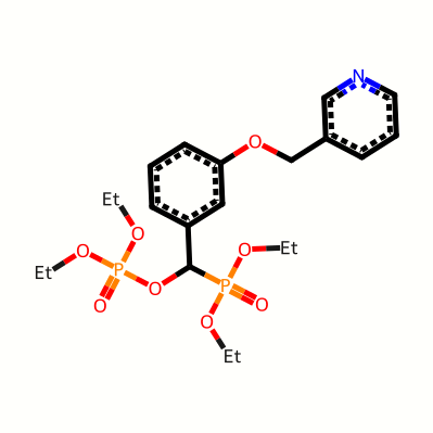 CCOP(=O)(OCC)OC(c1cccc(OCc2cccnc2)c1)P(=O)(OCC)OCC